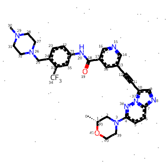 C[C@@H]1CN(c2ccc3ncc(C#Cc4cncc(C(=O)Nc5ccc(CN6CCN(C)CC6)c(C(F)(F)F)c5)c4)n3n2)CCO1